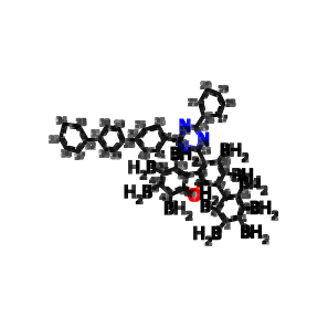 Bc1c(B)c(B)c(-c2c(B)c(B)c(-c3nc(-c4ccccc4)nc(-c4ccc(-c5ccc(-c6ccccc6)cc5)cc4)n3)c3c2oc2c(B)c(B)c(B)c(B)c23)c(B)c1B